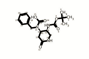 CC(C)(C)OC(=O)N[C@H]1CNC(=O)C[C@H]1N(Cc1ccccc1)C(=O)O